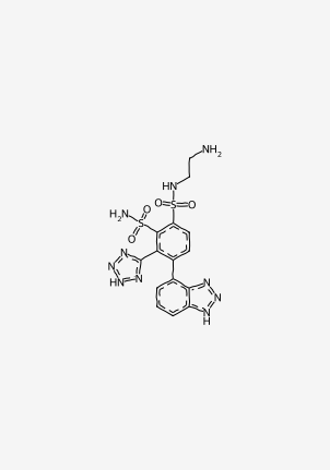 NCCNS(=O)(=O)c1ccc(-c2cccc3[nH]nnc23)c(-c2nn[nH]n2)c1S(N)(=O)=O